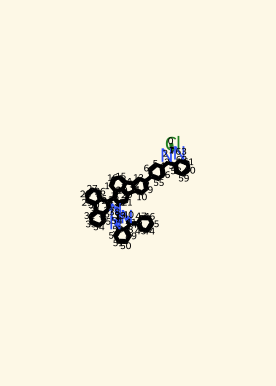 Clc1nc(-c2ccc(-c3ccc4c(c3)-c3cccc5c3c-4cc3c5c4c5ccccc5c5ccccc5c4n3-c3nc(-c4ccccc4)c4ccccc4n3)cc2)c2ccccc2n1